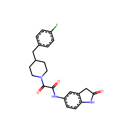 O=C1Cc2cc(NC(=O)C(=O)N3CCC(Cc4ccc(F)cc4)CC3)ccc2N1